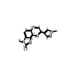 Cn1cc(-c2cnc3ccc4c(nc(Cl)n4C)c3n2)cn1